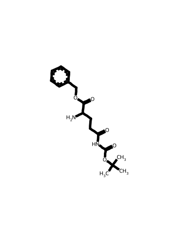 CC(C)(C)OC(=O)NC(=O)CCC(N)C(=O)OCc1ccccc1